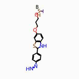 B#[SH](I)OCCCOc1ccc2c(c1)SC(c1ccc(N=N)cc1)N2